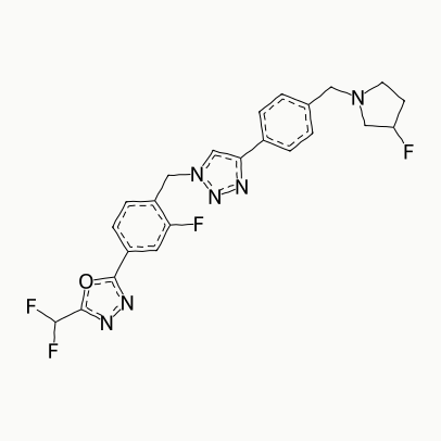 Fc1cc(-c2nnc(C(F)F)o2)ccc1Cn1cc(-c2ccc(CN3CCC(F)C3)cc2)nn1